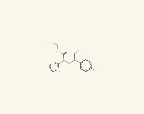 CCOC(=O)C(CC(CC)c1ccc(Cl)cc1)c1ncco1